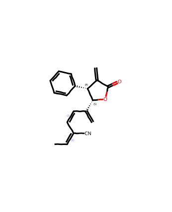 C=C(/C=C\C(C#N)=C/C)[C@H]1OC(=O)C(=C)[C@H]1c1ccccc1